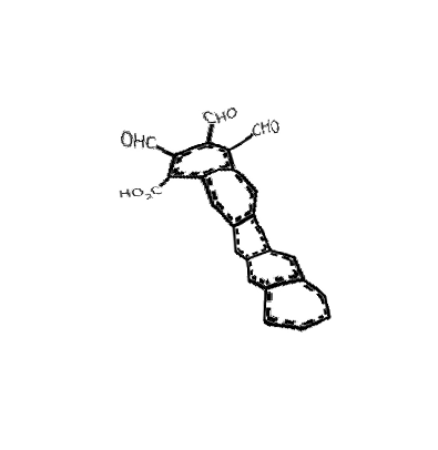 O=Cc1c(C=O)c(C(=O)O)c2cc3cc4cc5ccccc5cc4cc3cc2c1C=O